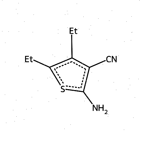 CCc1sc(N)c(C#N)c1CC